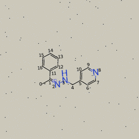 [CH2]/C(=N/NCc1ccncc1)c1ccccc1